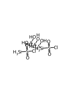 O=S(=O)(O)O.O=S(=O)(O)O.O=S(=O)(O)O.O=S(=O)([SiH3])Cl.O=S(=O)([SiH3])Cl